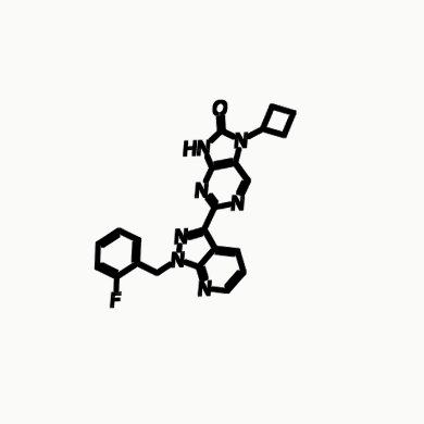 O=c1[nH]c2nc(-c3nn(Cc4ccccc4F)c4ncccc34)ncc2n1C1CCC1